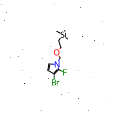 C[Si](C)(C)CCOCn1ccc(Br)c1F